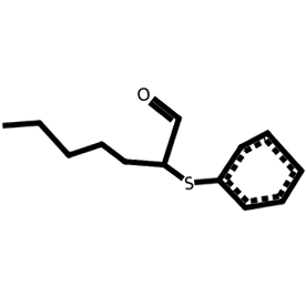 CCCCCC(C=O)Sc1ccccc1